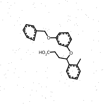 Cc1ccccc1C(CCC(=O)O)Oc1cccc(OCc2ccccc2)c1